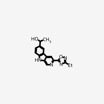 CCc1noc(-c2cc3c(cn2)[nH]c2ccc(C(C)O)cc23)n1